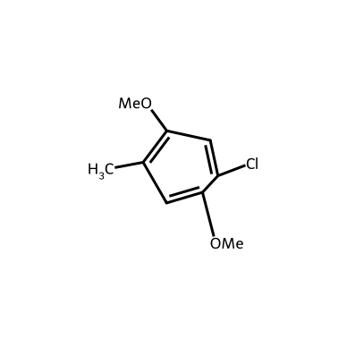 COc1cc(Cl)c(OC)cc1C